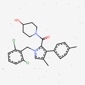 Cc1ccc(-c2c(C)cn(Cc3c(Cl)cccc3Cl)c2C(=O)N2CCC(O)CC2)cc1